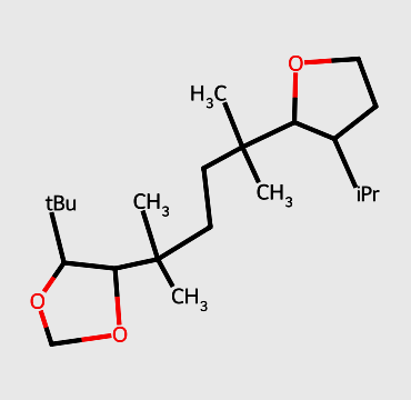 CC(C)C1CCOC1C(C)(C)CCC(C)(C)C1OCOC1C(C)(C)C